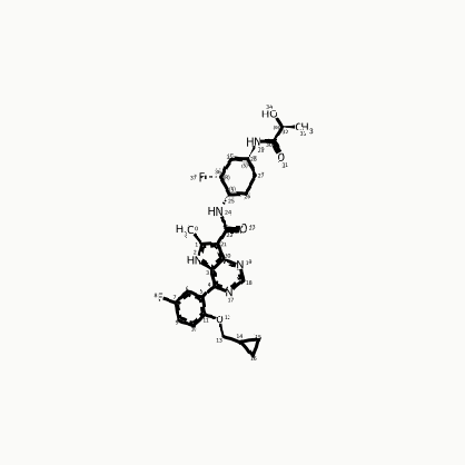 Cc1[nH]c2c(-c3cc(F)ccc3OCC3CC3)ncnc2c1C(=O)N[C@H]1CC[C@H](NC(=O)[C@H](C)O)C[C@H]1F